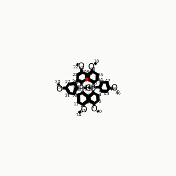 COc1ccc([PH]([Co][PH](c2ccc(OC)cc2)(c2ccc(OC)cc2)c2ccc(OC)cc2)(c2ccc(OC)cc2)c2ccc(OC)cc2)cc1